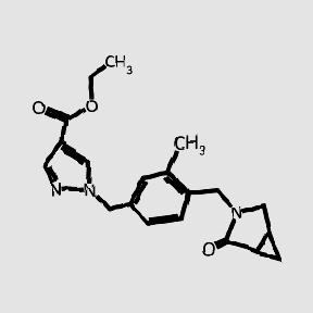 CCOC(=O)c1cnn(Cc2ccc(CN3CC4CC4C3=O)c(C)c2)c1